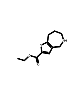 CCOC(=O)c1cc2c(s1)CCCNC2